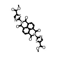 COC(=O)c1cnc(N2C(=O)c3ccc4c5c(ccc(c35)C2=O)C(=O)N(c2ncc(C(=O)OC)s2)C4=O)s1